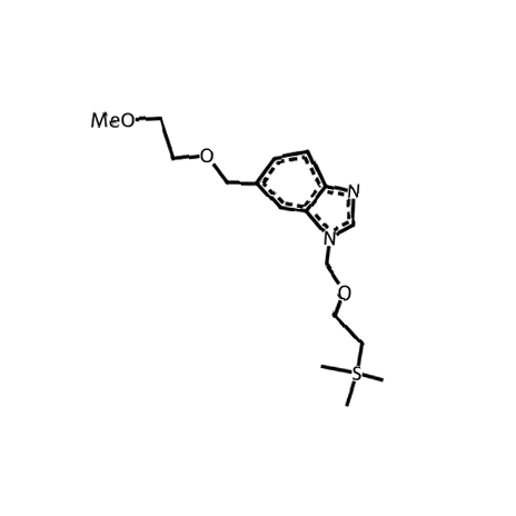 COCCOCc1ccc2ncn(COCCS(C)(C)C)c2c1